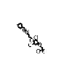 ClC(Cl)=CCOc1cc(Cl)c(OCCCC=NOCc2ccccc2)c(Cl)c1